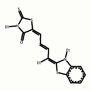 CCC(/C=C/C=C1/SC(=S)N(CC)C1=O)=C1\Sc2ccccc2N1CC